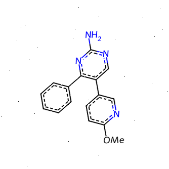 COc1ccc(-c2cnc(N)nc2-c2ccccc2)cn1